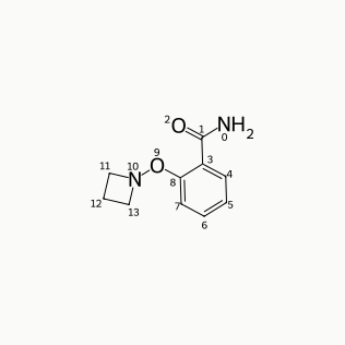 NC(=O)c1ccccc1ON1CCC1